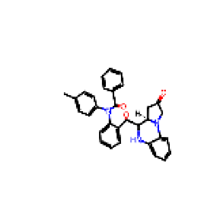 Cc1ccc(N(C(=O)c2ccccc2)c2ccccc2C(=O)C2Nc3ccccc3N3CC(=O)C[C@H]23)cc1